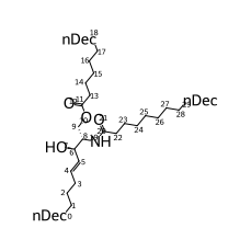 CCCCCCCCCCCCC/C=C/[C@@H](O)[C@H](COC(=O)CCCCCCCCCCCCCCC)NC(=O)CCCCCCCCCCCCCCCCC